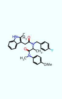 COc1ccc(N(C)C(=O)C(C)N(Cc2ccc(F)cc2)C(=O)Cc2c(C)[nH]c3ccccc23)cc1